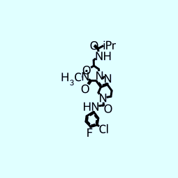 CC(C)C(=O)NCC1Cn2nc3c(c2C(=O)N(C)O1)CN(C(=O)Nc1ccc(F)c(Cl)c1)CC3